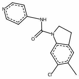 Cc1cc2c(cc1Cl)N(C(=O)Nc1ccncc1)CC2